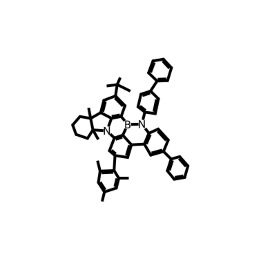 Cc1cc(C)c(-c2cc3c4c(c2)N2c5c(cc(C(C)(C)C)cc5C5(C)CCCCC25C)B4N(c2ccc(-c4ccccc4)cc2)c2ccc(-c4ccccc4)cc2-3)c(C)c1